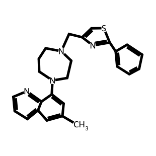 Cc1cc(N2CCCN(Cc3csc(-c4ccccc4)n3)CC2)c2ncccc2c1